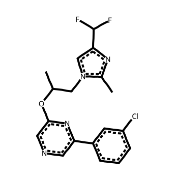 Cc1nc(C(F)F)cn1CC(C)Oc1cncc(-c2cccc(Cl)c2)n1